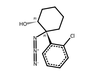 [N-]=[N+]=N[C@@]1(c2ccccc2Cl)CCCC[C@H]1O